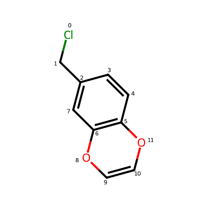 ClCc1ccc2c(c1)OC=CO2